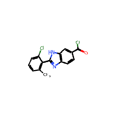 O=C(Cl)c1ccc2nc(-c3c(Cl)cccc3C(F)(F)F)[nH]c2c1